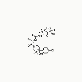 CC(C)[C@@H](NC(=O)NCC(C)(C)OC(=O)P(=O)(O)O)C(=O)N1CC[C@](O)(c2ccc(Cl)cc2)C(C)(C)C1